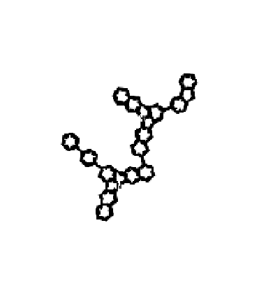 c1ccc(-c2ccc(-c3cc4c5cc6ccccc6cc5n5c6cc7cccc(-c8ccc9cc%10c(cc9c8)c8cc(-c9ccc%11c(c9)-c9ccccc9C%11)cc9c%11cc%12ccccc%12cc%11n%10c98)c7cc6c(c3)c45)cc2)cc1